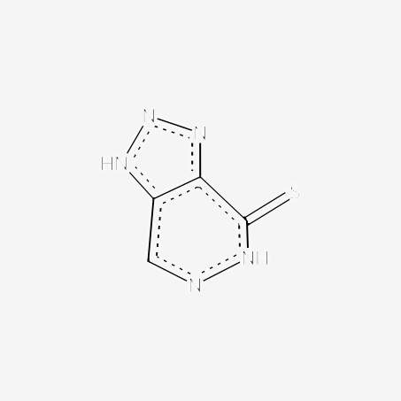 S=c1[nH]ncc2[nH]nnc12